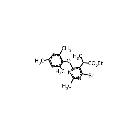 CCOC(=O)C(C)c1c(Br)nc(C)nc1Oc1c(C)cc(C)cc1C